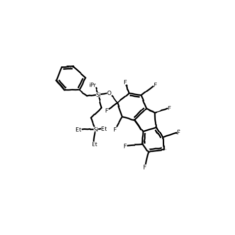 CC[Si](CC)(CC)CC[Si](Cc1ccccc1)(OC1(F)C(F)=C(F)C2=C(c3c(F)c(F)[c]c(F)c3C2F)C1F)C(C)C